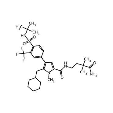 Cn1c(C(=O)NCCC(C)(C)C(N)=O)cc(-c2ccc(S(=O)(=O)NC(C)(C)C)c(C(F)(F)F)c2)c1CC1CCCCC1